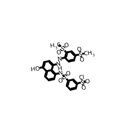 CS(=O)(=O)c1ccc(N=Nc2ccc(O)c3cccc(NS(=O)(=O)c4cccc(S(=O)(=O)Cl)c4)c23)c(S(C)(=O)=O)c1